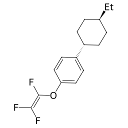 CC[C@H]1CC[C@H](c2ccc(OC(F)=C(F)F)cc2)CC1